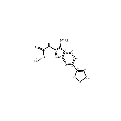 CCOC(=O)c1c(NC(=O)OC(C)(C)C)oc2cc(C3=COCC3)cnc12